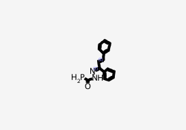 O=C(P)N/N=C(/C=C/c1ccccc1)c1ccccc1